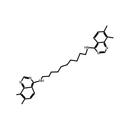 Cc1ccc2c(NCCCCCCCCCCNc3ncnc4c(C)c(C)ccc34)ncnc2c1C